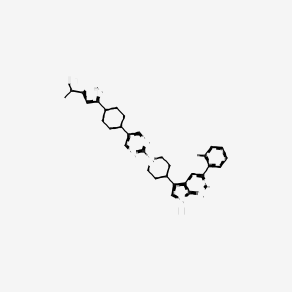 CC(C)C(C)c1cc(C2CCC(c3cnc(N4CCC(c5c[nH]c6nnc(-c7ccccc7O)cc56)CC4)nc3)CC2)no1